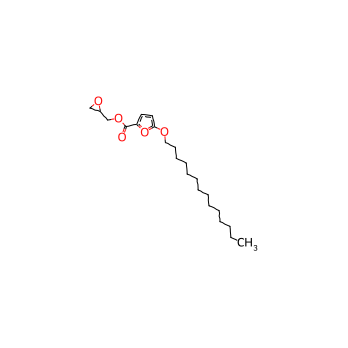 CCCCCCCCCCCCCCOc1ccc(C(=O)OCC2CO2)o1